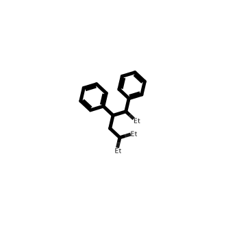 CCC(CC)CC(c1ccccc1)C(CC)c1ccccc1